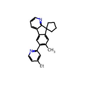 CCc1ccnc(-c2cc3c(cc2C)C2(CCCC2)c2ncccc2-3)c1